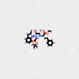 CCOC(=O)[C@H](CCc1ccccc1)N[C@@H](C)C(=O)N(CC(=O)OC(C)(C)C)N1c2ccccc2CC1C